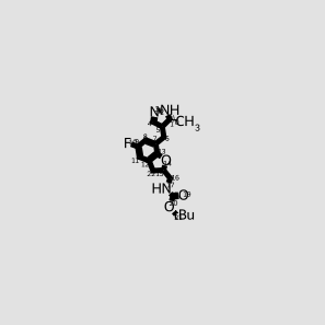 C[C@H]1NN=CC1Cc1cc(F)cc2c1OC(CNC(=O)OC(C)(C)C)C2